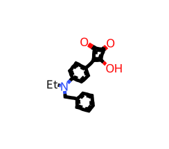 CCN(Cc1ccccc1)c1ccc(-c2c(O)c(=O)c2=O)cc1